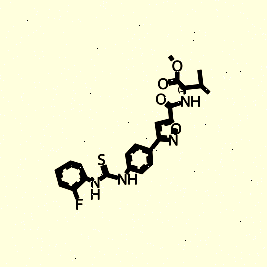 COC(=O)[C@@H](NC(=O)c1cc(-c2ccc(NC(=S)Nc3ccccc3F)cc2)no1)C(C)C